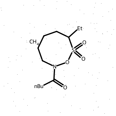 C.CCCCC(=O)N1CCCCC(CC)S(=O)(=O)O1